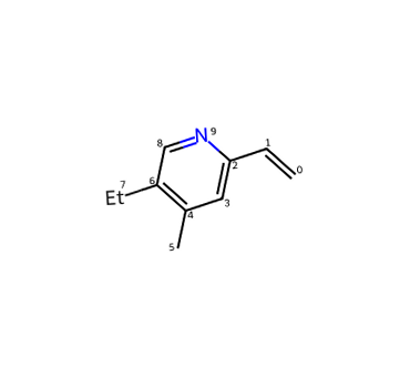 C=Cc1cc(C)c(CC)cn1